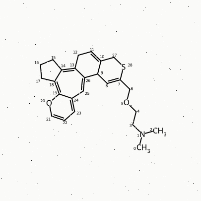 CN(C)CCOCC1=CC2C(=CCC3=C4CCCC4=C4OC=CC=C4C=C32)CS1